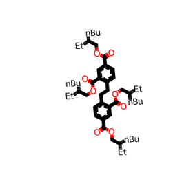 CCCCC(CC)COC(=O)c1ccc(CCc2ccc(C(=O)OCC(CC)CCCC)cc2C(=O)OCC(CC)CCCC)c(C(=O)OCC(CC)CCCC)c1